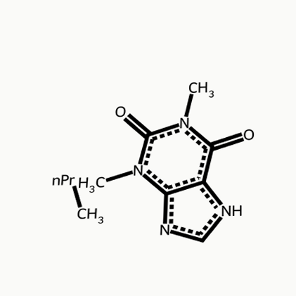 CCCC.Cn1c(=O)c2[nH]cnc2n(C)c1=O